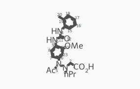 CCCN(CC(=O)O)N(C(C)=O)c1ccc(NC(=O)Nc2ccccc2C)c(OC)c1